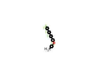 CC1CCC(C(F)(F)OC2CCC(c3ccc(-c4ccc(-c5ccc(F)c(F)c5)c(F)c4)c(F)c3)CC2)CC1